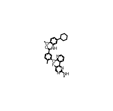 CNc1ncc(F)c(-c2cccnc2Oc2cc(C(=O)Nc3cc(C4CCCCC4)ccc3OC)ccc2C)n1